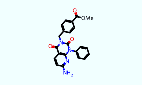 COC(=O)c1ccc(Cn2c(=O)c3ccc(N)nc3n(-c3ccccc3)c2=O)cc1